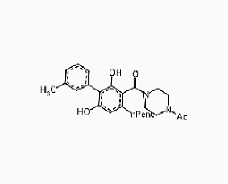 CCCCCc1cc(O)c(-c2cccc(C)c2)c(O)c1C(=O)N1CCN(C(C)=O)CC1